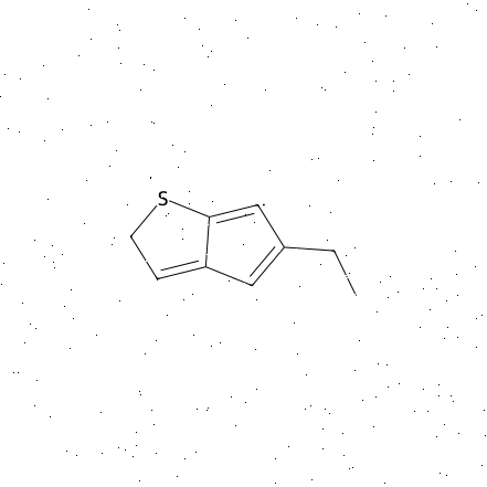 CCC1=CC2=CCSC2=[C]1